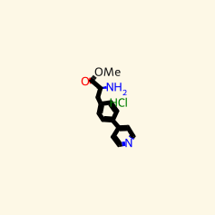 COC(=O)[C@@H](N)Cc1ccc(-c2ccncc2)cc1.Cl